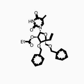 C=C[C@]1(COCc2ccccc2)O[C@@H](n2cc(C)c(=O)[nH]c2=O)[C@H](OC(=O)CC)[C@@H]1OCc1ccccc1